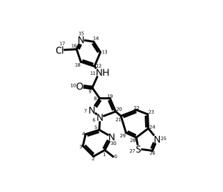 Cc1cccc(-n2nc(C(=O)Nc3ccnc(Cl)c3)cc2-c2ccc3ncsc3c2)n1